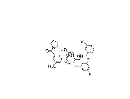 CCCOC[C@H]1CCCN1C(=O)c1cc(C)cc(C(=O)N[C@@H](Cc2cc(F)cc(F)c2)[C@@H](O)CNCc2cccc(CC)c2)c1